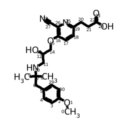 COc1ccc(CC(C)(C)NCC(O)COc2ccc(CCC(=O)O)nc2C#N)cc1